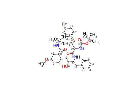 COC1CCC(CC(O)C(Cc2ccccc2)NC(=O)C(CSc2ccc(F)cc2)NC(=O)OC(C)(C)C)C(C(=O)NC(C)(C)C)C1